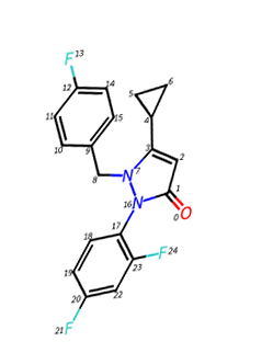 O=c1cc(C2CC2)n(Cc2ccc(F)cc2)n1-c1ccc(F)cc1F